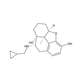 C[C@@]12c3c4ccc(O)c3O[C@@H]1CCC[C@]2(O)[C@@H](NCC1CC1)C4